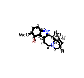 CC[C@H]1C[C@H]2C[C@H]3c4[nH]c5ccc(OC)c(Br)c5c4CCN(C2)C13